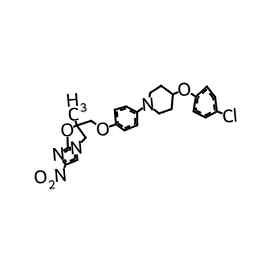 CC1(COc2ccc(N3CCC(Oc4ccc(Cl)cc4)CC3)cc2)Cn2cc([N+](=O)[O-])nc2O1